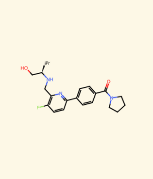 CC(C)[C@H](CO)NCc1nc(-c2ccc(C(=O)N3CCCC3)cc2)ccc1F